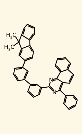 CC1(C)c2ccccc2-c2ccc(-c3cccc(-c4cccc(-c5nc(-c6ccccc6)c6ccc7ccccc7c6n5)c4)c3)cc21